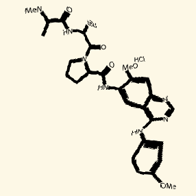 CNC(C)C(=O)NC(C(=O)N1CCCC1C(=O)Nc1cc2c(Nc3ccc(OC)cc3)ncnc2cc1OC)C(C)(C)C.Cl